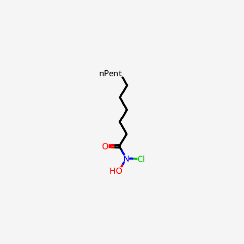 CCCCCCCCCCC(=O)N(O)Cl